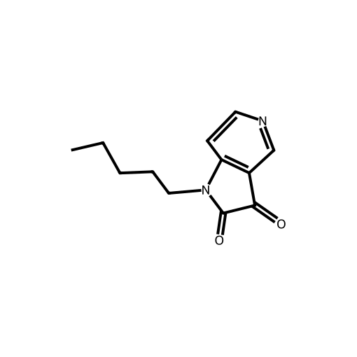 CCCCCN1C(=O)C(=O)c2cnccc21